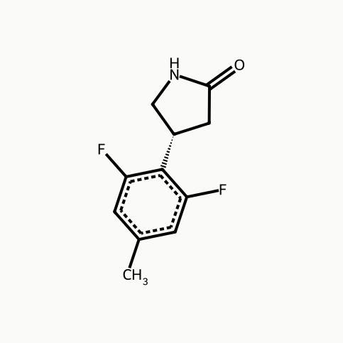 Cc1cc(F)c([C@@H]2CNC(=O)C2)c(F)c1